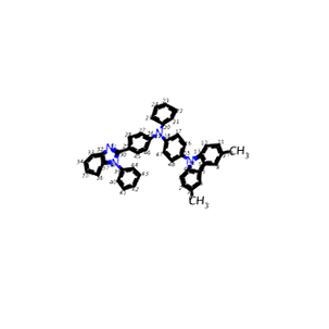 Cc1ccc2c(c1)c1cc(C)ccc1n2-c1ccc(N(c2ccccc2)c2ccc(-c3nc4ccccc4n3-c3ccccc3)cc2)cc1